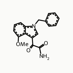 COc1cccc2c1c(C(=O)C(N)=O)cn2Cc1ccccc1